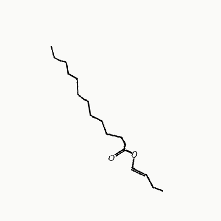 CCC=COC(=O)CCCCCCCCCCC